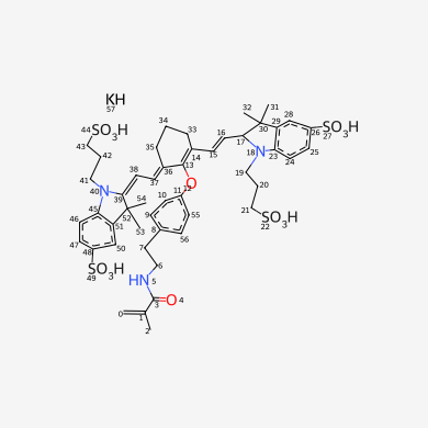 C=C(C)C(=O)NCCc1ccc(OC2=C(/C=C/C3N(CCCS(=O)(=O)O)c4ccc(S(=O)(=O)O)cc4C3(C)C)CCC/C2=C\C=C2\N(CCCS(=O)(=O)O)c3ccc(S(=O)(=O)O)cc3C2(C)C)cc1.[KH]